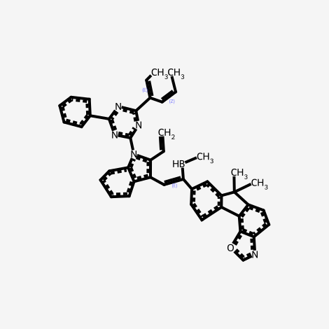 C=Cc1c(/C=C(\BC)c2ccc3c(c2)C(C)(C)c2ccc4ncoc4c2-3)c2ccccc2n1-c1nc(C(/C=C\C)=C/C)nc(-c2ccccc2)n1